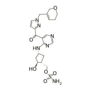 NS(=O)(=O)OC[C@H]1C[C@@H](Nc2ncncc2C(=O)c2ccn(CC3=CCCOC3)n2)C[C@@H]1O